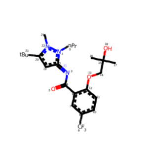 CCCn1/c(=N/C(=O)c2cc(C(F)(F)F)ccc2OCC(C)(C)O)cc(C(C)(C)C)n1C